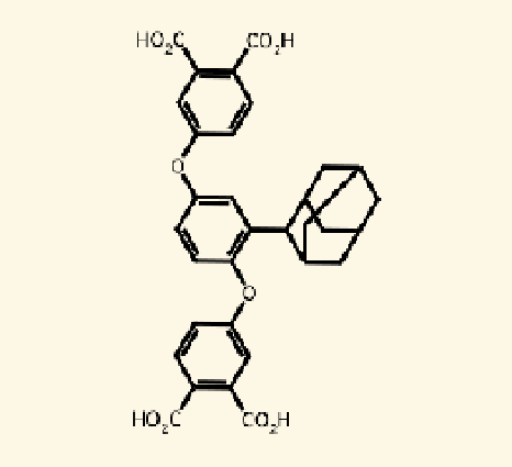 O=C(O)c1ccc(Oc2ccc(Oc3ccc(C(=O)O)c(C(=O)O)c3)c(C3C4CC5CC(C4)CC3C5)c2)cc1C(=O)O